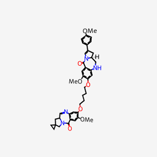 COc1ccc(C2=CN3C(=O)c4cc(OC)c(OCCCCCOc5cc6c(cc5OC)C(=O)N5CC7(CC7)CC5C=N6)cc4NC[C@@H]3C2)cc1